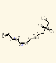 CCS(=O)(=O)CCNC/N=C\N=C\C=O